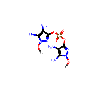 CCOn1nc(OS(=O)(=O)Oc2nn(OCC)c(N)c2N)c(N)c1N